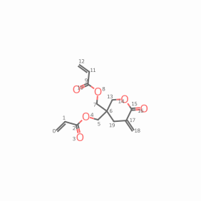 C=CC(=O)OCC1(COC(=O)C=C)COC(=O)C(=C)C1